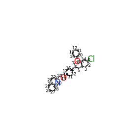 Clc1ccc(C=C(COc2ccccc2)c2ccc(OCc3ccc4ccccc4n3)cc2)cc1